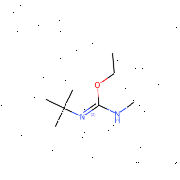 CCO/C(=N\C(C)(C)C)NC